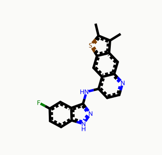 Cc1sc2cc3c(Nc4n[nH]c5ccc(F)cc45)ccnc3cc2c1C